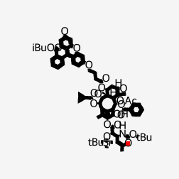 CC(=O)O[C@@]12CO[C@@H]1C[C@H](OC(=O)CCCOc1ccc3c(-c4ccccc4C(=O)OCC(C)C)c4ccc(=O)cc-4oc3c1)[C@@]1(C)C(=O)[C@H](OC(=O)C3CC3)C3=C(C)[C@@H](OC(=O)[C@H](O[Si](C)(C)C(C)(C)C)[C@H](C=C(C)C)NC(=O)OC(C)(C)C)C[C@@](O)([C@@H](OC(=O)c4ccccc4)[C@H]21)C3(C)C